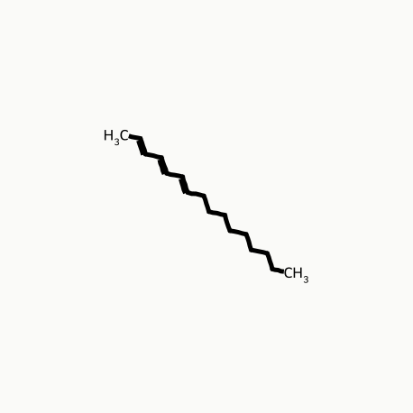 CC=CC=CC=CCCCCCCCCC